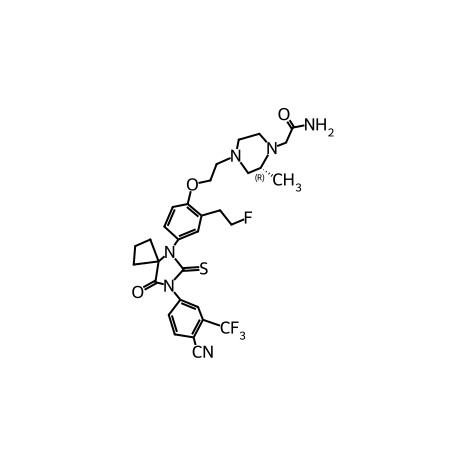 C[C@@H]1CN(CCOc2ccc(N3C(=S)N(c4ccc(C#N)c(C(F)(F)F)c4)C(=O)C34CCC4)cc2CCF)CCN1CC(N)=O